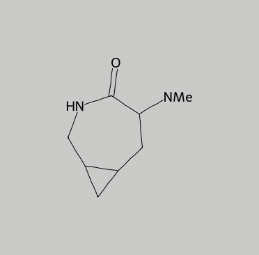 CNC1CC2CC2CNC1=O